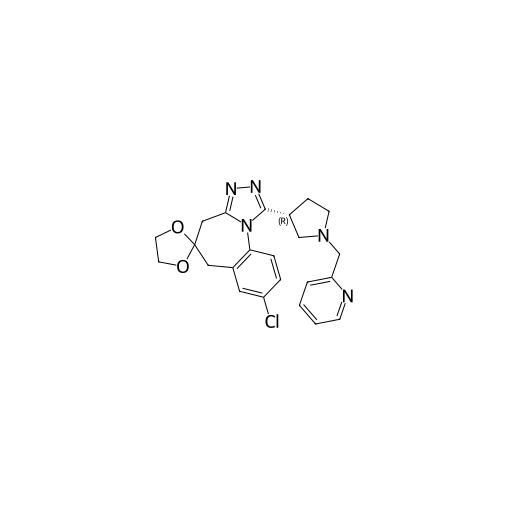 Clc1ccc2c(c1)CC1(Cc3nnc([C@@H]4CCN(Cc5ccccn5)C4)n3-2)OCCO1